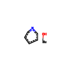 CCC(C)O.c1ccncc1